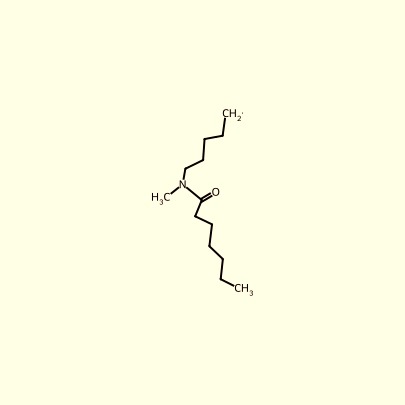 [CH2]CCCCN(C)C(=O)CCCCCC